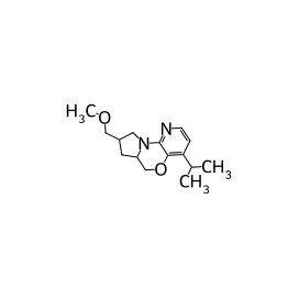 COCC1CC2COc3c(C(C)C)ccnc3N2C1